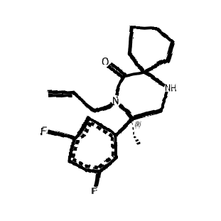 C=CCN1C(=O)C2(CCCCC2)NC[C@@]1(C)c1cc(F)cc(F)c1